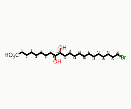 O=C(O)CCCCCCCC(O)C(O)CCCCCCCCCCCCBr